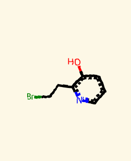 Oc1cccnc1CCBr